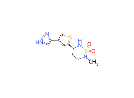 CN1CC[C@@H](c2cc(-c3c[nH]cn3)cs2)NS1(=O)=O